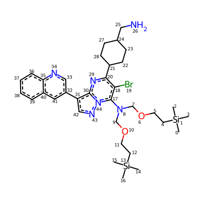 C[Si](C)(C)CCOCN(COCC[Si](C)(C)C)c1c(Br)c(C2CCC(CN)CC2)nc2c(-c3cnc4ccccc4c3)cnn12